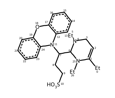 CCC1=CCN(CC)C(C(CCS(=O)(=O)O)N2c3ccccc3Oc3ccccc32)N1CC